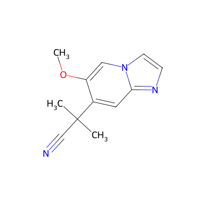 COc1cn2ccnc2cc1C(C)(C)C#N